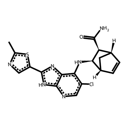 Cc1ncc(-c2nc3c(N[C@H]4[C@@H](C(N)=O)[C@@H]5C=C[C@H]4C5)c(Cl)cnc3[nH]2)s1